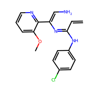 C=C/C(=N\C(=C/N)c1ncccc1OC)Nc1ccc(Cl)cc1